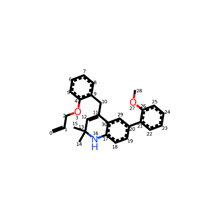 C=CCOc1ccccc1CC1=CC(C)(C)Nc2ccc(-c3ccccc3OC)cc21